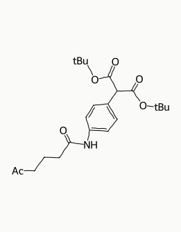 CC(=O)CCCC(=O)Nc1ccc(C(C(=O)OC(C)(C)C)C(=O)OC(C)(C)C)cc1